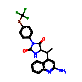 CC(c1cc(N)nc2ccccc12)C1NC(=O)N(c2ccc(SC(F)(F)F)cc2)C1=O